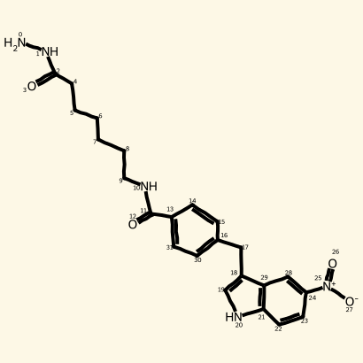 NNC(=O)CCCCCCNC(=O)c1ccc(Cc2c[nH]c3ccc([N+](=O)[O-])cc23)cc1